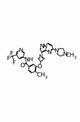 Cc1ccc(C(=O)Nc2cncc(C(F)(F)F)c2)cc1OC1CN(c2cnn3ccc(N4CCN(C)CC4)nc23)C1